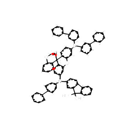 CC1(C)c2ccccc2-c2ccc(N(c3ccc(-c4ccccc4)cc3)c3ccc4c(c3)Oc3cc(N(c5cccc(-c6ccccc6)c5)c5cccc(-c6ccccc6)c5)ccc3C43c4ccccc4Oc4ccccc43)cc21